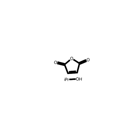 CC(C)O.O=C1C=CC(=O)O1